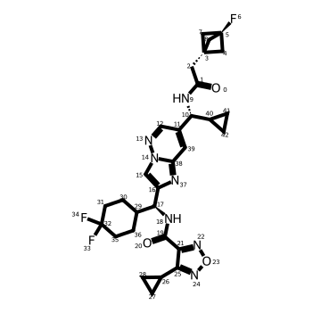 O=C(C[C@]12C[C@@](F)(C1)C2)N[C@@H](c1cnn2cc([C@@H](NC(=O)c3nonc3C3CC3)C3CCC(F)(F)CC3)nc2c1)C1CC1